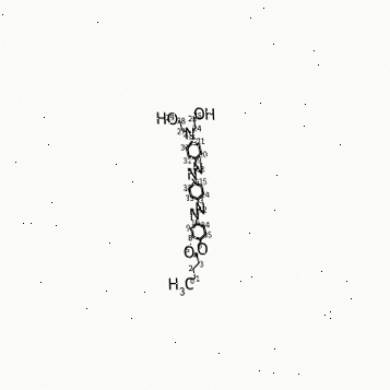 CCCCC(=O)Oc1ccc(N=Nc2ccc(N=Nc3ccc(N(CCO)CCO)cc3)cc2)cc1